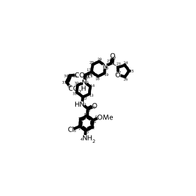 COc1cc(N)c(Cl)cc1C(=O)NC1CCN(CC2CCN(C(=O)[C@@H]3CCCO3)CC2)CC1.O=C(O)/C=C\C(=O)O